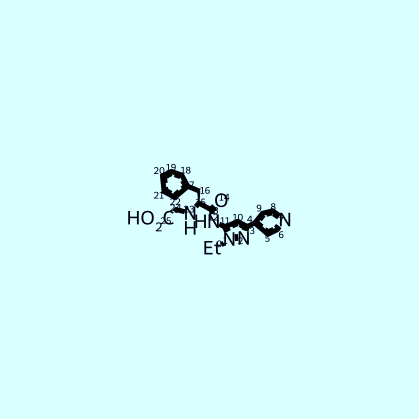 CCn1nc(-c2ccncc2)cc1NC(=O)[C@H](Cc1ccccc1)NCC(=O)O